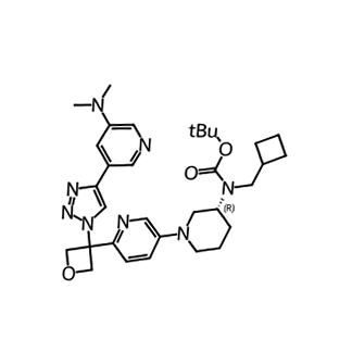 CN(C)c1cncc(-c2cn(C3(c4ccc(N5CCC[C@@H](N(CC6CCC6)C(=O)OC(C)(C)C)C5)cn4)COC3)nn2)c1